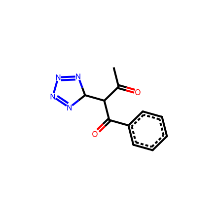 CC(=O)C(C(=O)c1ccccc1)C1N=NN=N1